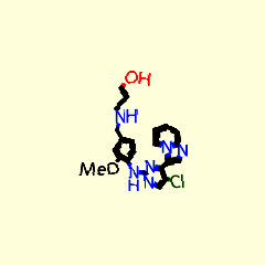 COc1cc(CNCCCO)ccc1Nc1ncc(Cl)c(-c2cnc3ccccn23)n1